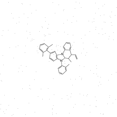 C=CC1c2ccccc2N2c3cc(-c4c(C)cccc4C)ccc3N(c3ccccc3C)C2C1C